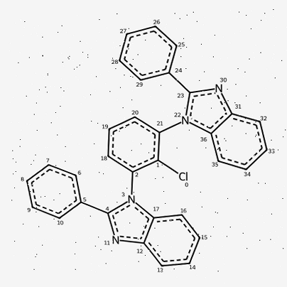 Clc1c(-n2c(-c3ccccc3)nc3ccccc32)cccc1-n1c(-c2ccccc2)nc2ccccc21